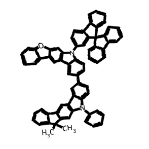 CC1(C)c2ccccc2-c2cc3c4cc(-c5ccc6c(c5)c5cc7c(cc5n6-c5ccc6c(c5)C5(c8ccccc8-c8ccccc85)c5ccccc5-6)oc5ccccc57)ccc4n(-c4ccccc4)c3cc21